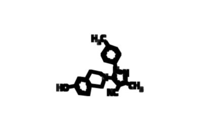 Cc1ccc(-n2nc(C)c(C#N)c2N2CCc3cc(O)ccc3C2)cc1